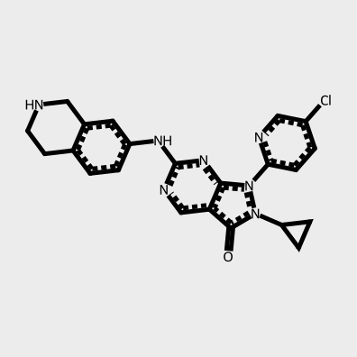 O=c1c2cnc(Nc3ccc4c(c3)CNCC4)nc2n(-c2ccc(Cl)cn2)n1C1CC1